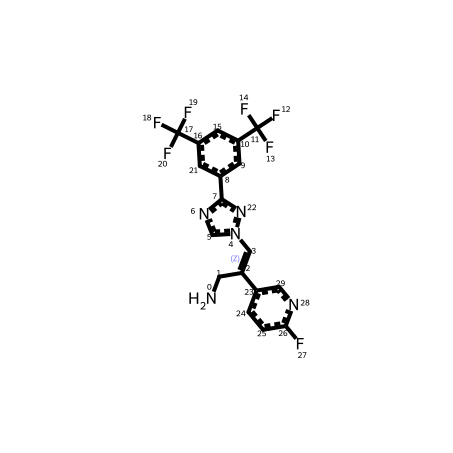 NC/C(=C\n1cnc(-c2cc(C(F)(F)F)cc(C(F)(F)F)c2)n1)c1ccc(F)nc1